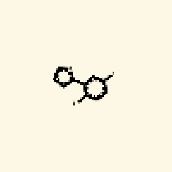 CC(=O)c1ccc(Br)c(-c2cccs2)c1